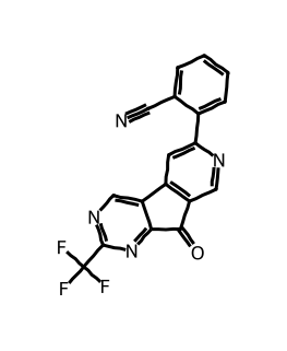 N#Cc1ccccc1-c1cc2c(cn1)C(=O)c1nc(C(F)(F)F)ncc1-2